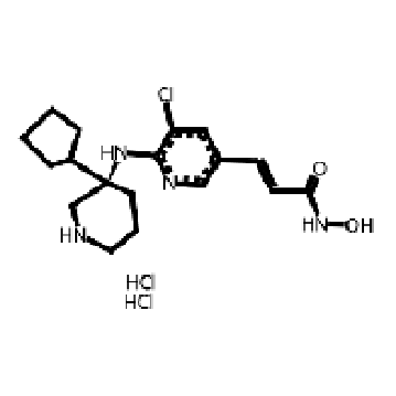 Cl.Cl.O=C(/C=C/c1cnc(N[C@@]2(C3CCCC3)CCCNC2)c(Cl)c1)NO